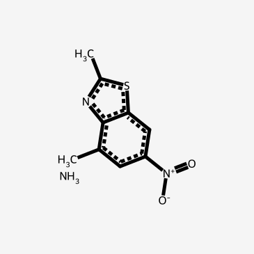 Cc1nc2c(C)cc([N+](=O)[O-])cc2s1.N